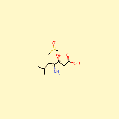 CC(C)C[C@H](N)[C@@H](O)CC(=O)O.C[S+](C)[O-]